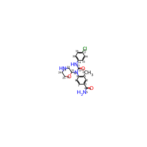 Cc1cc(C(N)=O)ccc1N(C(=O)Nc1ccc(Cl)cc1)C1CNCCO1